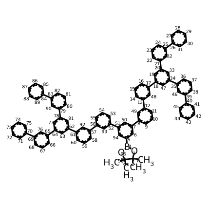 CC1(C)OB(c2cc(-c3cccc(-c4cccc(-c5cc(-c6cccc(-c7ccccc7)c6)cc(-c6cccc(-c7ccccc7)c6)c5)c4)c3)cc(-c3cccc(-c4cccc(-c5cc(-c6cccc(-c7ccccc7)c6)cc(-c6cccc(-c7ccccc7)c6)c5)c4)c3)c2)OC1(C)C